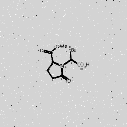 COC(=O)C1CCC(=O)N1C(C(=O)O)C(C)(C)C